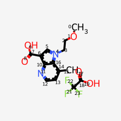 COCCn1cc(C(=O)O)c2nccc(C)c21.O=C(O)C(F)(F)F